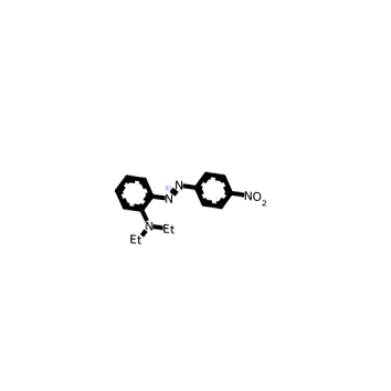 CCN(CC)c1ccccc1/N=N/c1ccc([N+](=O)[O-])cc1